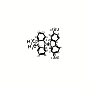 CC(C)(C)c1ccc2c3ccc(C(C)(C)C)cc3n(B3c4ccccc4[Si](C)(C)c4ccccc43)c2c1